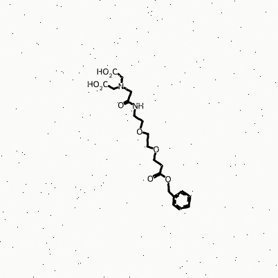 O=C(O)CN(CC(=O)O)CC(=O)NCCOCCOCCC(=O)OCc1ccccc1